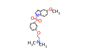 COc1ccc2c(ccn2S(=O)(=O)c2cccc(OCCN(C)C)c2)c1